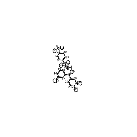 CS(=O)(=O)c1ccc(S(=O)(=O)Nc2ccc(Cl)cc2C(=O)c2ccc(Cl)[n+]([O-])c2)cc1